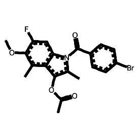 COc1c(F)cc2c(c1C)c(OC(C)=O)c(C)n2C(=O)c1ccc(Br)cc1